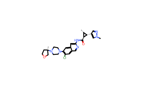 C[C@H]1[C@H](C(=O)Nc2cc3cc(N4CCN([C@]5(C)CCOC5)CC4)c(Cl)cc3cn2)[C@H]1c1cnn(C)c1